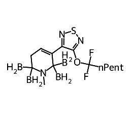 BC1(B)CC=C(c2nsnc2OC(F)(F)CCCCC)C(B)(B)N1C